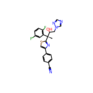 C[C@@](c1nc(-c2ccc(C#N)cc2)cs1)(c1cc(F)ccc1F)[C@@H](O)Cn1cncn1